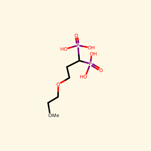 COCCOCCC(P(=O)(O)O)P(=O)(O)O